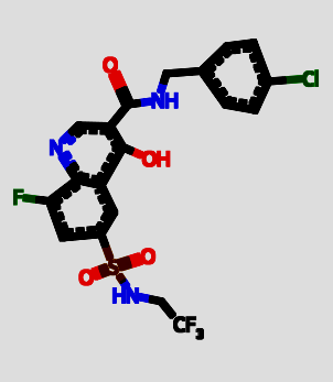 O=C(NCc1ccc(Cl)cc1)c1cnc2c(F)cc(S(=O)(=O)NCC(F)(F)F)cc2c1O